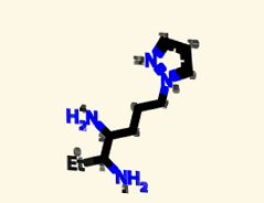 CCC(N)C(N)CCCn1cccn1